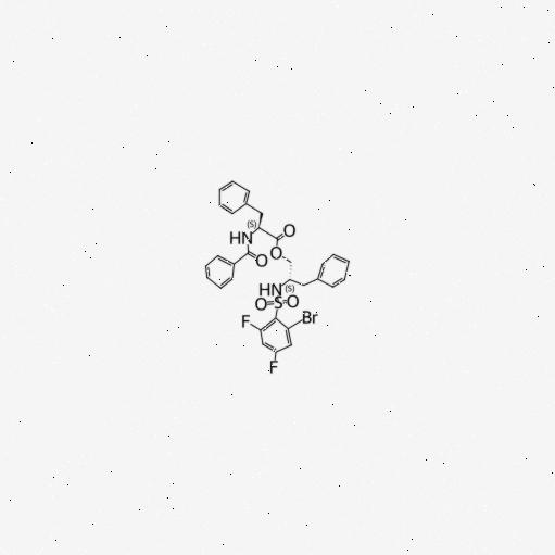 O=C(N[C@@H](Cc1ccccc1)C(=O)OC[C@H](Cc1ccccc1)NS(=O)(=O)c1c(F)cc(F)cc1Br)c1ccccc1